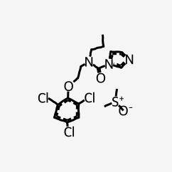 CCCN(CCOc1c(Cl)cc(Cl)cc1Cl)C(=O)n1ccnc1.C[S+](C)[O-]